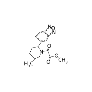 COC(=O)C(=O)N1CC(C)CCC1c1ccc2nonc2c1